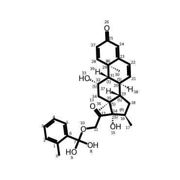 Cc1ccccc1C(O)(O)OCC(=O)[C@]1(O)[C@H](C)C[C@H]2[C@@H]3C=CC4=CC(=O)C=C[C@]4(C)[C@H]3[C@@H](O)C[C@@]21C